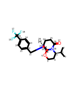 CC(C)[C@H]1CCO[C@]23CCN(Cc4ccc(C(F)(F)F)cc4)C[C@H]2CCC(=O)N13